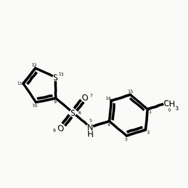 Cc1c[c]c(NS(=O)(=O)c2cccs2)cc1